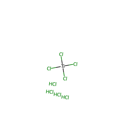 Cl.Cl.Cl.Cl.[Cl][Ti]([Cl])([Cl])[Cl]